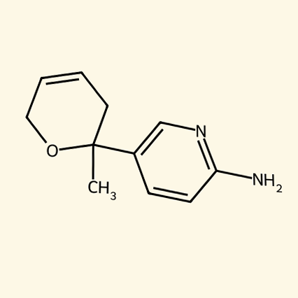 CC1(c2ccc(N)nc2)CC=CCO1